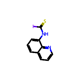 S=C(I)Nc1cccc2cccnc12